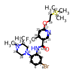 C[C@H]1CN(c2ccc(Br)cc2NC(=O)c2cnc(OCCS(C)(C)C)cc2C(F)(F)F)CCN1C